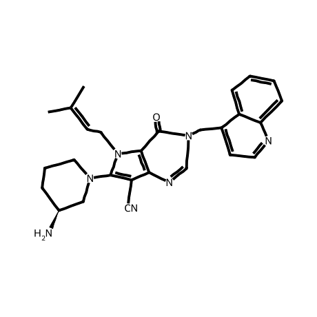 CC(C)=CCn1c(N2CCC[C@H](N)C2)c(C#N)c2ncn(Cc3ccnc4ccccc34)c(=O)c21